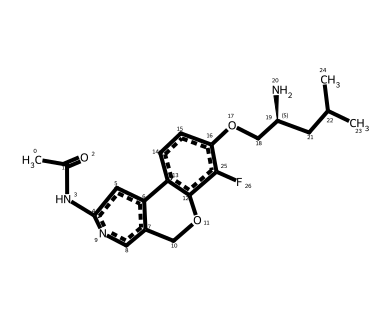 CC(=O)Nc1cc2c(cn1)COc1c-2ccc(OC[C@@H](N)CC(C)C)c1F